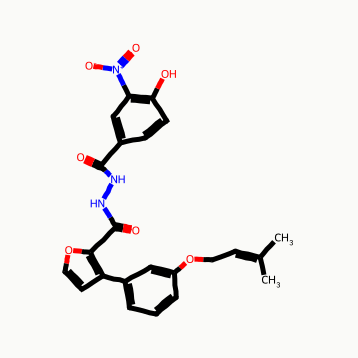 CC(C)=CCOc1cccc(-c2ccoc2C(=O)NNC(=O)c2ccc(O)c([N+](=O)[O-])c2)c1